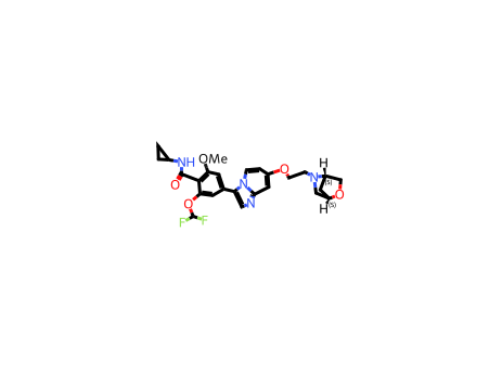 COc1cc(-c2cnc3cc(OCCN4C[C@@H]5C[C@H]4CO5)ccn23)cc(OC(F)F)c1C(=O)NC1CC1